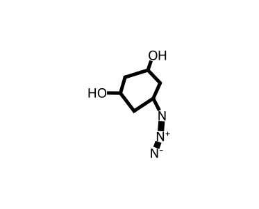 [N-]=[N+]=NC1CC(O)CC(O)C1